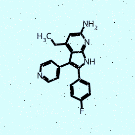 CCc1cc(N)nc2[nH]c(-c3ccc(F)cc3)c(-c3ccncc3)c12